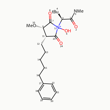 CNC(=O)[C@H](C(C)(C)C)[N+]1(O)C(=O)[C@@H](OC)[C@@H](CCCCCc2ccccc2)C1=O